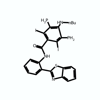 CCCCNc1c(P)c(I)c(C(=O)Nc2ccccc2-c2nc3ccccc3s2)c(I)c1P